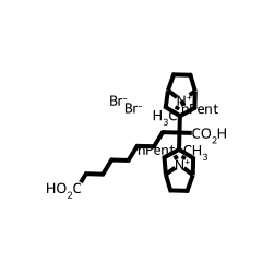 CCCCC[N+]1(C)C2CCC1CC(C(CCCCCCCC(=O)O)(C(=O)O)C1CC3CCC(C1)[N+]3(C)CCCCC)C2.[Br-].[Br-]